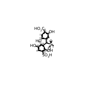 CS(=O)(=O)C(c1cc(O)c(C(=O)O)cc1O)c1cc(O)cc(S(=O)(=O)O)c1O